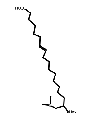 CCCCCCC(CCCCCCCCC=CCCCCCC(=O)O)CN(C)C